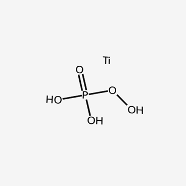 O=P(O)(O)OO.[Ti]